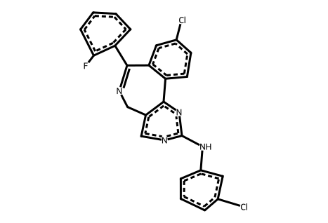 Fc1ccccc1C1=NCc2cnc(Nc3cccc(Cl)c3)nc2-c2ccc(Cl)cc21